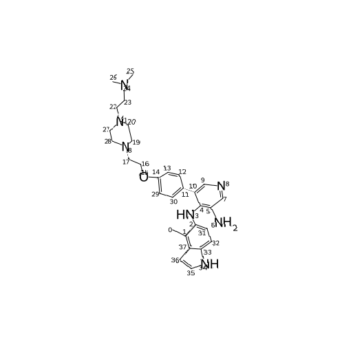 Cc1c(Nc2c(N)cncc2-c2ccc(OCCN3CCN(CCN(C)C)CC3)cc2)ccc2[nH]ccc12